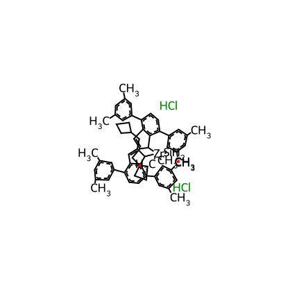 Cc1cc(C)cc(-c2ccc(-c3cc(C)cc(C)c3)c3c2C=C(CC2CCC2)[CH]3[Zr]([CH3])([CH3])(=[SiH2])[CH]2C(CC3CCC3)=Cc3c(-c4cc(C)cc(C)c4)ccc(-c4cc(C)cc(C)c4)c32)c1.Cl.Cl